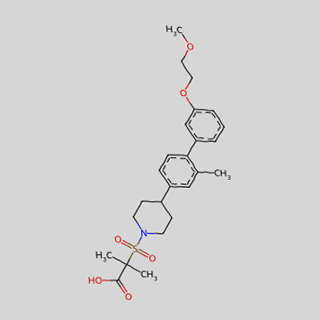 COCCOc1cccc(-c2ccc(C3CCN(S(=O)(=O)C(C)(C)C(=O)O)CC3)cc2C)c1